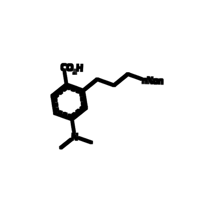 CCCCCCCCCCCCc1cc(N(C)C)ccc1C(=O)O